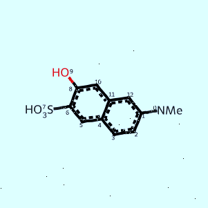 CNc1ccc2cc(S(=O)(=O)O)c(O)cc2c1